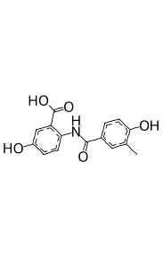 Cc1cc(C(=O)Nc2ccc(O)cc2C(=O)O)ccc1O